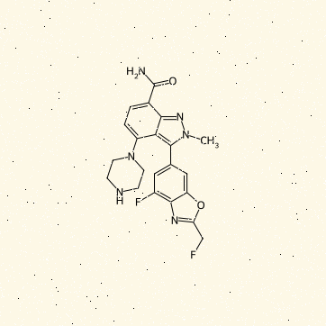 Cn1nc2c(C(N)=O)ccc(N3CCNCC3)c2c1-c1cc(F)c2nc(CF)oc2c1